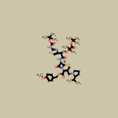 COc1ccc(COC(=O)C2=C(CN3CCCC3C(C)C)CS[C@@H]3[C@H](NC(=O)/C(=N\OC(C)(C)C(=O)OC(C)(C)C)c4csc(NC(=O)OC(C)(C)C)n4)C(=O)N23)cc1